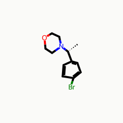 C[C@H](c1ccc(Br)cc1)N1CCOCC1